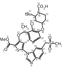 COC(=O)c1sc(-n2cnc3ccc(CS(C)(=O)=O)cc32)cc1O[C@H](C)c1cccc(OC2CCN(C(=O)O)C(C(C)(C)C)C2)c1Cl